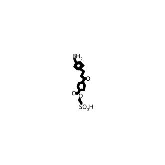 BCc1ccc(CCC(=O)C2CCC(C(=O)OCCS(=O)(=O)O)CC2)cc1